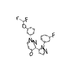 O=c1ccn(-c2cccc(OC(F)F)c2)nc1-c1ccnn1-c1cccc(F)c1